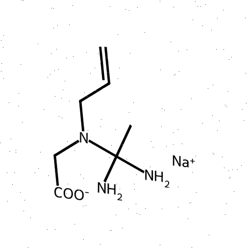 C=CCN(CC(=O)[O-])C(C)(N)N.[Na+]